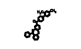 Cc1ccc(N2CCN(C(=O)c3ccc4c(c3)N=C(c3ccccc3)c3ccccc3S4)CC2)c(C)c1